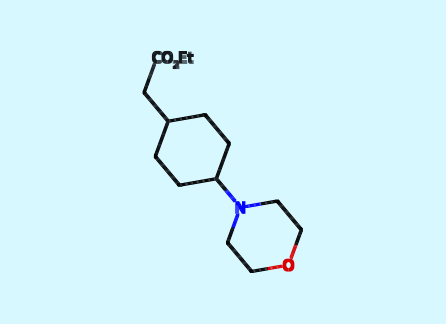 CCOC(=O)CC1CCC(N2CCOCC2)CC1